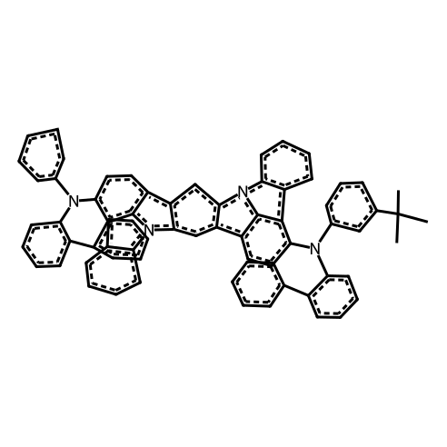 CC(C)(C)c1cccc(N(c2ccccc2-c2ccccc2)c2ccc3c4cc5c(cc4n4c6ccccc6c2c34)c2ccc(N(c3ccccc3)c3ccccc3-c3ccccc3)c3c4ccccc4n5c23)c1